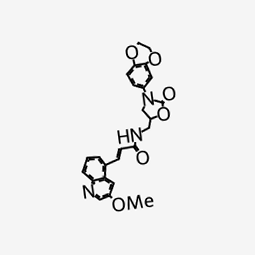 COc1cnc2cccc(C=CC(=O)NCC3CN(c4ccc5c(c4)OCCO5)C(=O)O3)c2c1